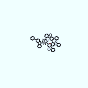 c1ccc(-c2ccc3c(c2)c2ccccc2n3-c2nc(-c3ccc4c(c3)oc3ccccc34)nc(-c3cccc4oc5ccc(-c6cccc7c8ccccc8n(-c8ccccc8)c67)cc5c34)n2)cc1